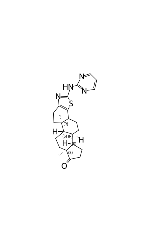 C[C@]12CCc3nc(Nc4ncccn4)sc3C1CC[C@@H]1[C@@H]2CC[C@]2(C)C(=O)CC[C@@H]12